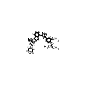 CC(C)Oc1ccc(-c2nc(-c3cccc4c3CC[C@@H]4NS(=O)(=O)CCN3CCOCC3)no2)cc1N